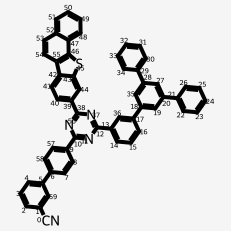 N#Cc1cccc(-c2ccc(-c3nc(-c4cccc(-c5cc(-c6ccccc6)cc(-c6ccccc6)c5)c4)nc(-c4ccc5c(c4)sc4c6ccccc6ccc54)n3)cc2)c1